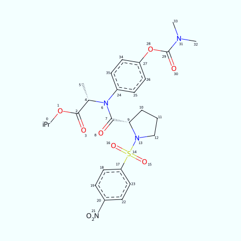 CC(C)OC(=O)[C@H](C)N(C(=O)[C@@H]1CCCN1S(=O)(=O)c1ccc([N+](=O)[O-])cc1)c1ccc(OC(=O)N(C)C)cc1